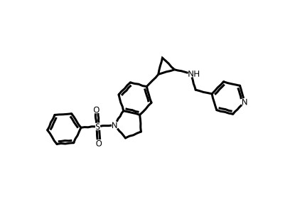 O=S(=O)(c1ccccc1)N1CCc2cc(C3CC3NCc3ccncc3)ccc21